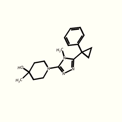 Cn1c(N2CCC(C)(O)CC2)nnc1C1(c2ccccc2)CC1